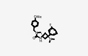 COc1ccc(CN2C[C@]3(C[C@](c4cccc(F)c4)(N(C)C)C3)NC2=O)cc1